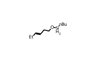 CCC=CCCO[SiH2]CCCC